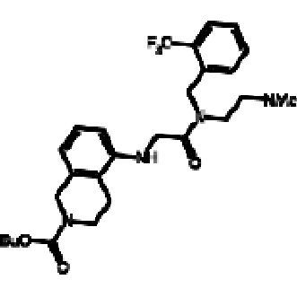 CNCCN(Cc1ccccc1C(F)(F)F)C(=O)CNc1cccc2c1CCN(C(=O)OCC(C)C)C2